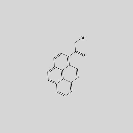 O=C(CO)c1ccc2ccc3cccc4ccc1c2c34